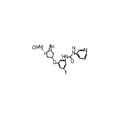 COC[C@H]1CC(Oc2cc(F)cc(NC(=O)Nc3cccnc3)c2)CN1C(C)=O